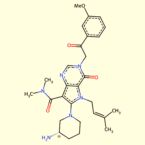 COc1cccc(C(=O)Cn2cnc3c(C(=O)N(C)C)c(N4CCC[C@H](N)C4)n(CC=C(C)C)c3c2=O)c1